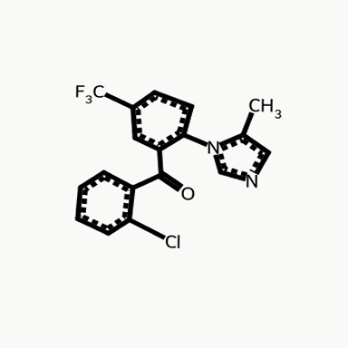 Cc1cncn1-c1ccc(C(F)(F)F)cc1C(=O)c1ccccc1Cl